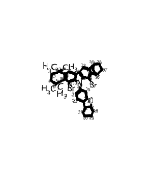 CC1(C)CCC(C)(C)c2c1cc1c3cc4c(c(Br)c3n(-c3ccc5c(c3)oc3ccccc35)c1c2Br)C1CCC4CC1